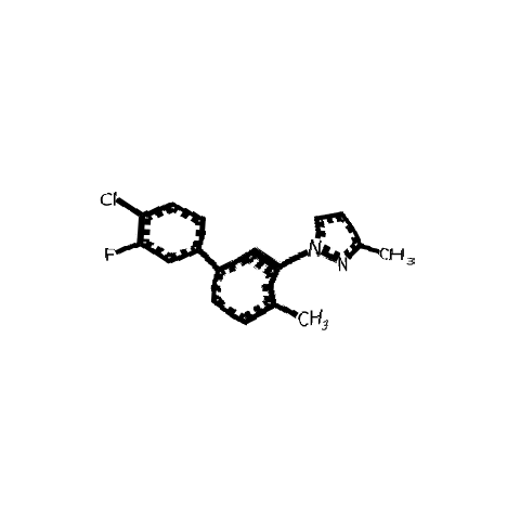 Cc1ccn(-c2cc(-c3ccc(Cl)c(F)c3)ccc2C)n1